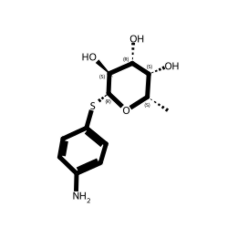 C[C@@H]1O[C@H](Sc2ccc(N)cc2)[C@@H](O)[C@H](O)[C@@H]1O